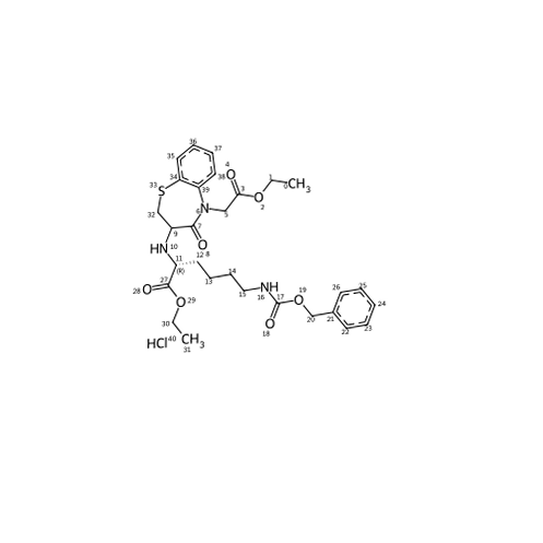 CCOC(=O)CN1C(=O)C(N[C@H](CCCCNC(=O)OCc2ccccc2)C(=O)OCC)CSc2ccccc21.Cl